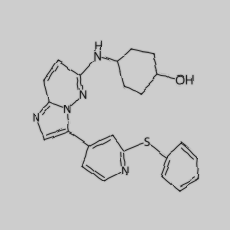 OC1CCC(Nc2ccc3ncc(-c4ccnc(Sc5ccccc5)c4)n3n2)CC1